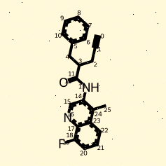 C#CCC(Cc1ccccc1)C(=O)Nc1cnc2c(F)cccc2c1C